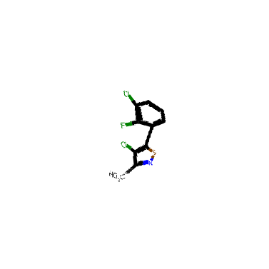 O=C(O)c1nsc(-c2cccc(Cl)c2F)c1Cl